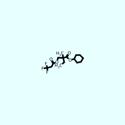 CCC(C)(COC(=O)CC(F)(F)F)C(=O)OC1CCCCC1